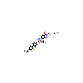 CC[C@H](C)[C@@H](COc1ccc(-c2ccc(C(F)(F)F)cc2F)c(F)c1)Nc1ccc(C(=O)NCCC(=O)O)cc1